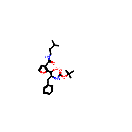 CC(C)CCNC(=O)c1ccoc1C(O)C(Cc1ccccc1)NC(=O)OC(C)(C)C